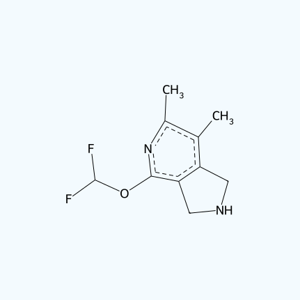 Cc1nc(OC(F)F)c2c(c1C)CNC2